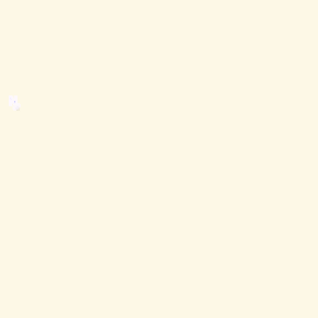 CCCCCCCCCCCCCCCCCCCCCCC#N